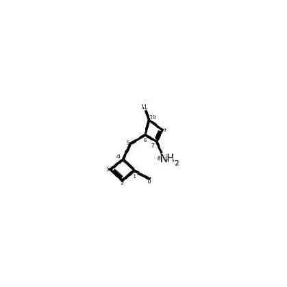 CC1C=CC1CC1C(N)=CC1C